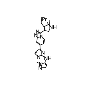 CC(C)CC1=C(c2nnc3cc(-c4ccnc(Nc5ccnn5C)n4)ccn23)CNN1C